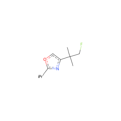 CC(C)c1nc(C(C)(C)CF)co1